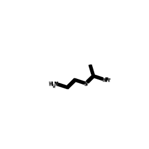 CCCC(C)SCCN